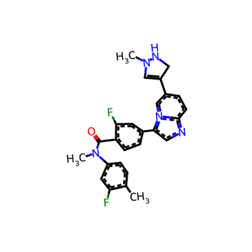 Cc1ccc(N(C)C(=O)c2ccc(-c3cnc4ccc(C5=CN(C)NC5)cn34)cc2F)cc1F